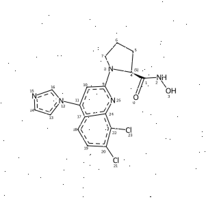 O=C(NO)[C@@H]1CCCN1c1cc(-n2ccnc2)c2ccc(Cl)c(Cl)c2n1